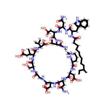 CCC(C)CCCCCCCCC(=O)NC(Cc1c[nH]c2ccccc12)C(=O)NC(CC(N)=O)C(=O)NC(CC(=O)O)C(=O)NC1C(=O)NCC(=O)NC(CCCN)C(=O)NC(CC(=O)O)C(=O)NC(CC(N)=O)C(=O)NC(CC(=O)O)C(=O)NCC(=O)NC(CO)C(=O)NC(C(C)CC(=O)O)C(=O)NC(C(C)C)C(=O)OC1C